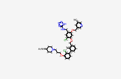 CC(=O)NC1CCN(CCCOc2cccc(-c3cccc(COc4cc(OCc5cncc(C#N)c5)c(CNc5nnn[nH]5)cc4Cl)c3C)c2Cl)CC1